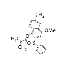 C=C(C)C(=O)Oc1c(Sc2ccccc2)cc(OC)c2cc(C)ccc12